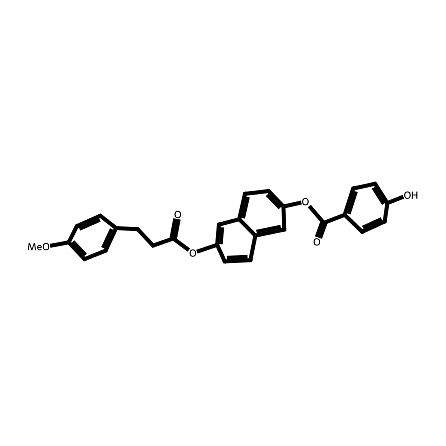 COc1ccc(CCC(=O)Oc2ccc3cc(OC(=O)c4ccc(O)cc4)ccc3c2)cc1